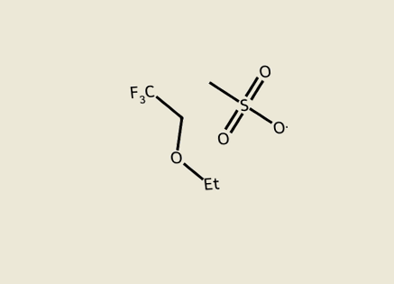 CCOCC(F)(F)F.CS([O])(=O)=O